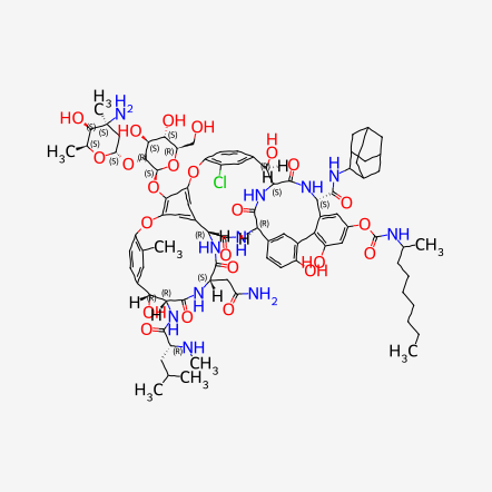 CCCCCCCC(C)NC(=O)Oc1cc(O)c2c(c1)[C@@H](C(=O)NC1C3CC4CC(C3)CC1C4)NC(=O)[C@H]1NC(=O)[C@H](NC(=O)[C@@H]3NC(=O)[C@H](CC(N)=O)NC(=O)[C@H](NC(=O)[C@@H](CC(C)C)NC)[C@H](O)c4ccc(c(C)c4)Oc4cc3cc(c4O[C@@H]3O[C@H](CO)[C@@H](O)[C@H](O)[C@H]3O[C@H]3C[C@](C)(N)[C@H](O)[C@H](C)O3)Oc3ccc(cc3Cl)[C@H]1O)c1ccc(O)c-2c1